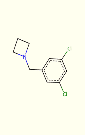 Clc1cc(Cl)cc(CN2CCC2)c1